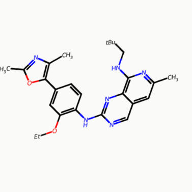 CCOc1cc(-c2oc(C)nc2C)ccc1Nc1ncc2cc(C)nc(NCC(C)(C)C)c2n1